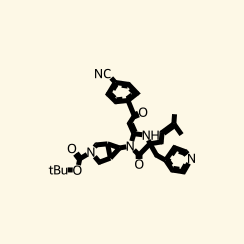 CC(C)=CCC1(Cc2ccncc2)NC(=CC(=O)c2ccc(C#N)cc2)N(C2C3CN(C(=O)OC(C)(C)C)CC32)C1=O